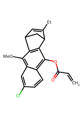 C=CC(=O)Oc1c2c(c(OC)c3cc(Cl)ccc13)C1C=C(CC)C2C1